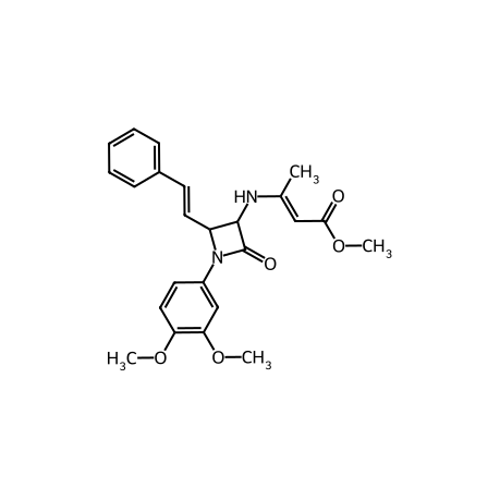 COC(=O)C=C(C)NC1C(=O)N(c2ccc(OC)c(OC)c2)C1C=Cc1ccccc1